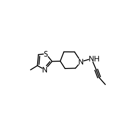 CC#CNN1CCC(c2nc(C)cs2)CC1